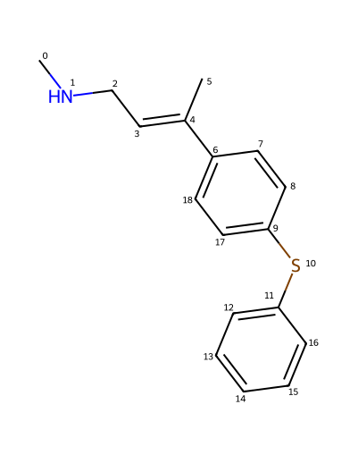 CNCC=C(C)c1ccc(Sc2ccccc2)cc1